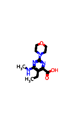 CCc1c(NC)nc(N2CCOCC2)nc1C(=O)O